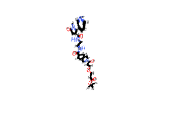 CN1C(=O)C[C@H](C(=O)NCCNC(=O)C2CCC3(CC2)CCN(C(=O)CCOCCC(=O)OC(C)(C)C)CC3)[C@H]1c1cccnc1